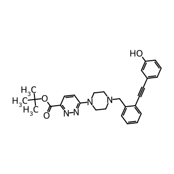 CC(C)(C)OC(=O)c1ccc(N2CCN(Cc3ccccc3C#Cc3cccc(O)c3)CC2)nn1